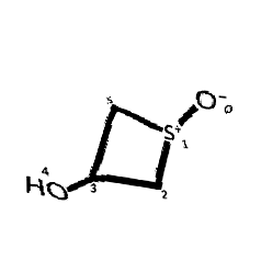 [O-][S+]1CC(O)C1